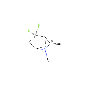 C[C@@H]1C2CC(CC2(F)F)N1C